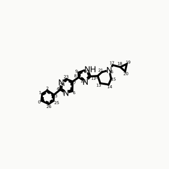 c1ccc(-c2ncc(-c3c[nH]c(C4CCCN(CC5CC5)C4)n3)cn2)cc1